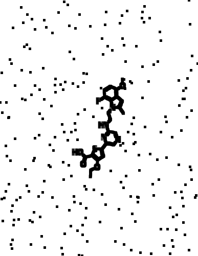 CCOc1cc(-c2cncc(NCCn3c(C)cc4c(OC)ccc(F)c43)n2)sc1C(=O)O